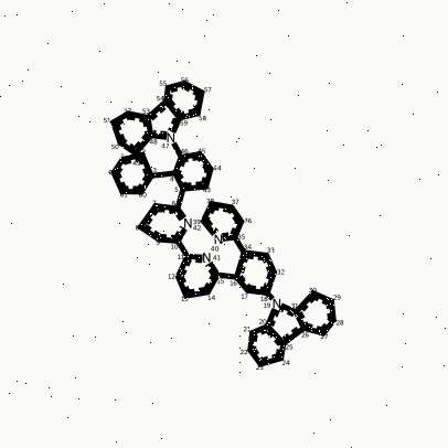 c1ccc(-c2c(-c3cccc(-c4cccc(-c5cc(-n6c7ccccc7c7ccccc76)ccc5-c5ccccn5)n4)n3)cccc2-n2c3ccccc3c3ccccc32)cc1